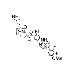 CCc1cc(Nc2nccn3c(-c4ccc(OC)c(F)c4F)cnc23)ccc1C(=O)N[C@@H](C)CNC(=O)[C@@H](N)CCCCN